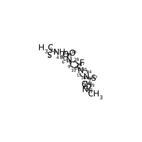 CC(=S)NC[C@H]1CN(c2ccc(N3CCN(C(=S)c4cc(C)no4)CC3)c(F)c2)C(=O)O1